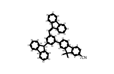 CC1(C)c2cc(C#N)ccc2-c2ccc(-c3cc(C=C4c5ccccc5-c5ccccc54)cc(C4c5ccccc5-c5ccccc54)c3)cc21